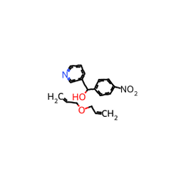 C=CCOCC=C.O=[N+]([O-])c1ccc(C(O)c2cccnc2)cc1